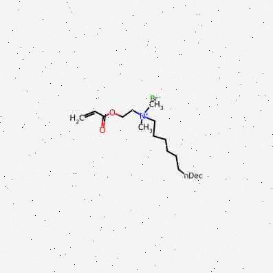 C=CC(=O)OCC[N+](C)(C)CCCCCCCCCCCCCCCC.[Br-]